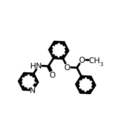 COC(Oc1ccccc1C(=O)Nc1cccnc1)c1ccccc1